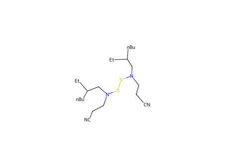 CCCCC(CC)CN(CCC#N)SSN(CCC#N)CC(CC)CCCC